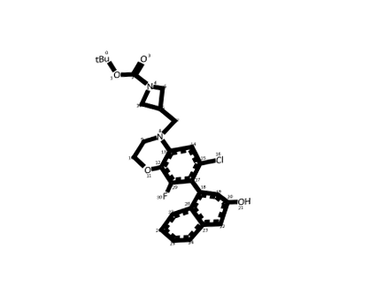 CC(C)(C)OC(=O)N1CC(CN2CCOc3c2cc(Cl)c(-c2cc(O)cc4ccccc24)c3F)C1